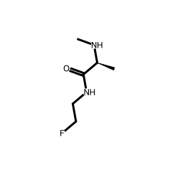 CN[C@@H](C)C(=O)NCCF